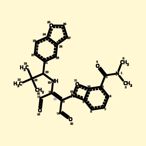 CN(C)C(=O)c1cccc2c1on2/C(C=O)=C(/C=O)NC(c1ccc2occc2c1)C(C)(C)C